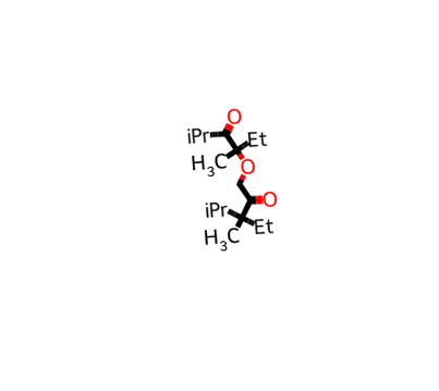 CCC(C)(OCC(=O)C(C)(CC)C(C)C)C(=O)C(C)C